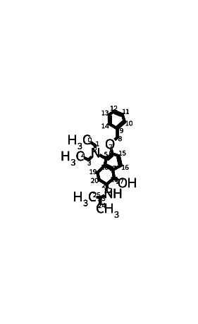 CCN(CC)c1c(OCc2ccccc2)ccc2c1CCC(NC(C)C)C2O